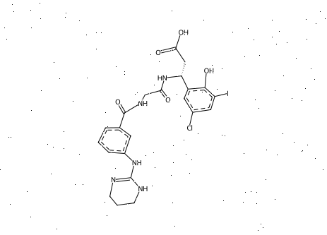 O=C(O)C[C@@H](NC(=O)CNC(=O)c1cccc(NC2=NCCCN2)c1)c1cc(Cl)cc(I)c1O